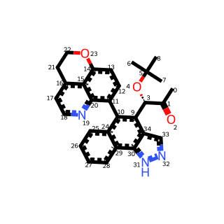 CC(=O)[C@@H](OC(C)(C)C)c1c(-c2ccc3c4c(ccnc24)CCO3)c2ccccc2c2[nH]ncc12